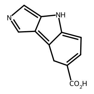 O=C(O)C1=CC=c2[nH]c3c(c2C1)C=NC=3